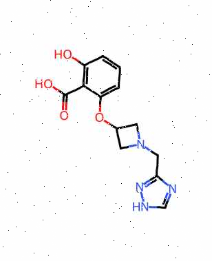 O=C(O)c1c(O)cccc1OC1CN(Cc2nc[nH]n2)C1